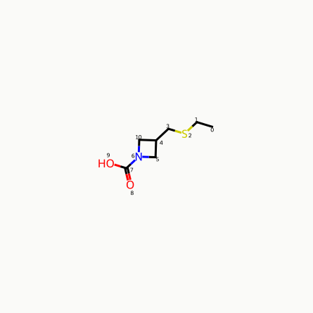 CCSCC1CN(C(=O)O)C1